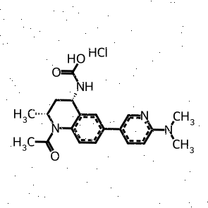 CC(=O)N1c2ccc(-c3ccc(N(C)C)nc3)cc2[C@@H](NC(=O)O)C[C@H]1C.Cl